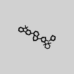 CC1(C)c2ccccc2-c2ccc(-c3cccc4c(-c5ccc6c(c5)C5(C)CCCCC5(C)N6c5ccccc5)cccc34)cc21